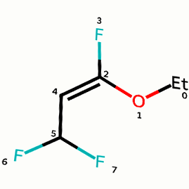 CCO/C(F)=C\C(F)F